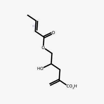 C=C(CC(O)COC(=O)/C=C/C)C(=O)O